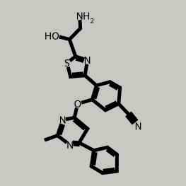 Cc1nc(Oc2cc(C#N)ccc2-c2csc(C(O)CN)n2)cc(-c2ccccc2)n1